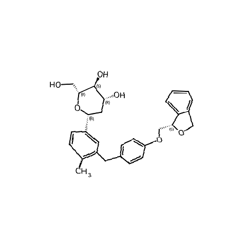 Cc1ccc([C@H]2C[C@@H](O)[C@H](O)[C@@H](CO)O2)cc1Cc1ccc(OC[C@H]2OCc3ccccc32)cc1